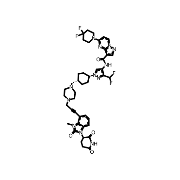 Cn1c(=O)n(C2CCC(=O)NC2=O)c2cccc(C#CCN3CCN(C[C@H]4CC[C@H](n5cc(NC(=O)c6cnn7ccc(N8CCC(F)(F)CC8)nc67)c(C(F)F)n5)CC4)CC3)c21